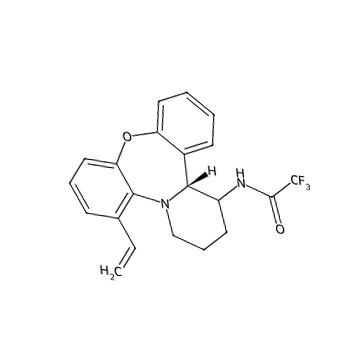 C=Cc1cccc2c1N1CCCC(NC(=O)C(F)(F)F)[C@H]1c1ccccc1O2